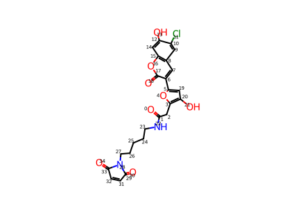 O=C(Cc1oc(-c2cc3cc(Cl)c(O)cc3oc2=O)cc1O)NCCCCCN1C(=O)C=CC1=O